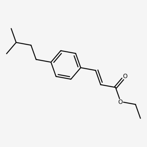 CCOC(=O)/C=C/c1ccc(CCC(C)C)cc1